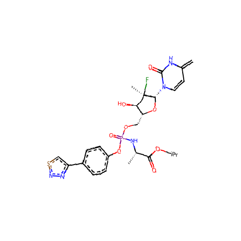 C=C1C=CN([C@@H]2O[C@H](COP(=O)(N[C@@H](C)C(=O)OC(C)C)Oc3ccc(-c4csnn4)cc3)[C@@H](O)[C@@]2(C)F)C(=O)N1